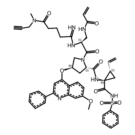 C#CCN(C)C(=O)CCCC(=N)N[C@@H](CNC(=O)C=C)C(=O)N1C[C@H](Oc2cc(-c3ccccc3)nc3cc(OC)ccc23)C[C@H]1C(=O)N[C@]1(C(=O)NS(=O)(=O)c2ccccc2)C[C@H]1C=C